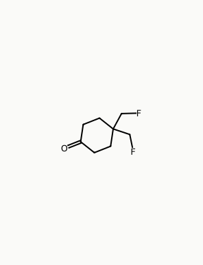 O=C1CCC(CF)(CF)CC1